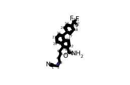 N#C/C=C\CCCc1c(C(N)=O)ccc2c(-c3ccc(C(F)(F)F)cc3)cccc12